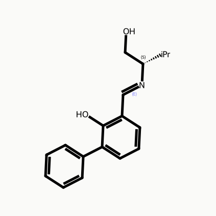 CC(C)[C@@H](CO)/N=C/c1cccc(-c2ccccc2)c1O